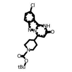 CC(C)(C)OC(=O)N1CCC(c2cc(=O)[nH]c3c4cc(Cl)ccc4nn23)CC1